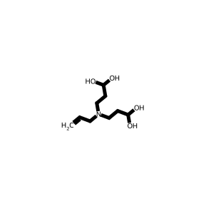 C=CCN(CCC(O)O)CCC(O)O